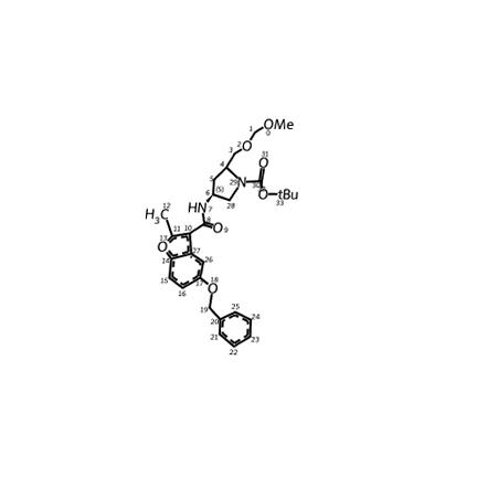 COCOCC1C[C@H](NC(=O)c2c(C)oc3ccc(OCc4ccccc4)cc23)CN1C(=O)OC(C)(C)C